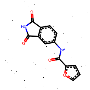 O=C(Nc1ccc2c(c1)C(=O)NC2=O)c1ccco1